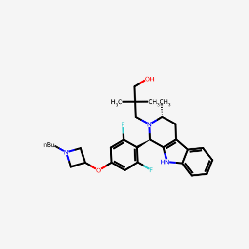 CCCCN1CC(Oc2cc(F)c([C@@H]3c4[nH]c5ccccc5c4C[C@@H](C)N3CC(C)(C)CO)c(F)c2)C1